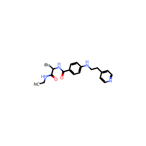 CCC(C)C(NC(=O)c1ccc(NCCc2ccncc2)cc1)C(=O)NCC#N